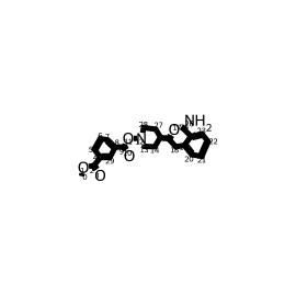 COC(=O)c1cccc(C(=O)ON2CCC(C(=O)Cc3ccccc3CN)CC2)c1